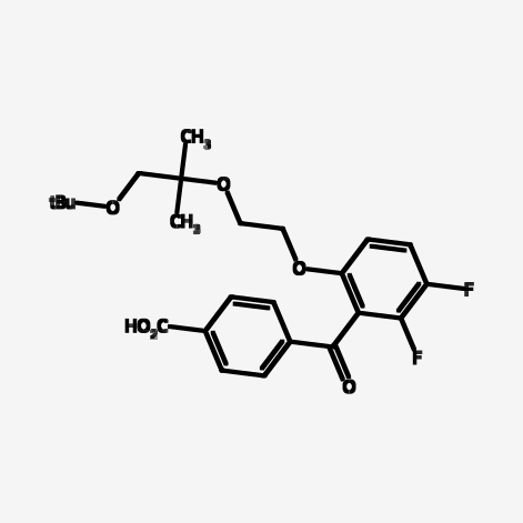 CC(C)(C)OCC(C)(C)OCCOc1ccc(F)c(F)c1C(=O)c1ccc(C(=O)O)cc1